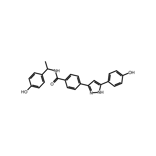 CC(NC(=O)c1ccc(-c2cc(-c3ccc(O)cc3)[nH]n2)cc1)c1ccc(O)cc1